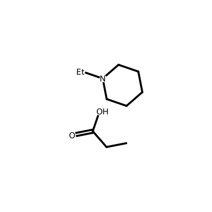 CCC(=O)O.CCN1CCCCC1